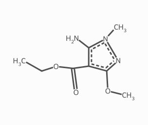 CCOC(=O)c1c(OC)nn(C)c1N